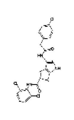 O=C(Cc1ccc(Cl)cc1)Nc1n[nH]c2sc(C(=O)Nc3c(Cl)cccc3Cl)cc12